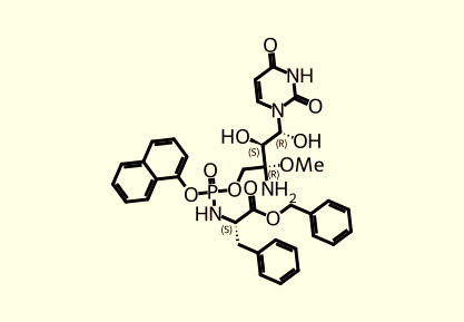 CO[C@](N)(COP(=O)(N[C@@H](Cc1ccccc1)C(=O)OCc1ccccc1)Oc1cccc2ccccc12)[C@@H](O)[C@@H](O)n1ccc(=O)[nH]c1=O